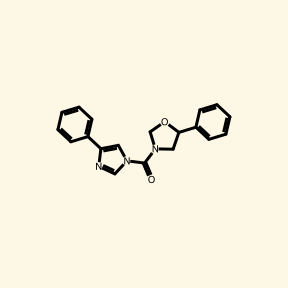 O=C(N1COC(c2ccccc2)C1)n1cnc(-c2ccccc2)c1